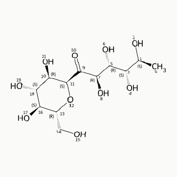 C[C@H](O)[C@H](O)[C@@H](O)[C@@H](O)C(=O)[C@H]1O[C@H](CO)[C@@H](O)[C@H](O)[C@H]1O